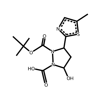 Cc1cnc(C2CC(O)N(C(=O)O)N2C(=O)OC(C)(C)C)s1